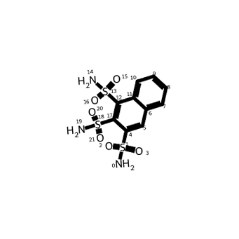 NS(=O)(=O)c1cc2ccccc2c(S(N)(=O)=O)c1S(N)(=O)=O